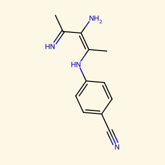 CC(=N)/C(N)=C(/C)Nc1ccc(C#N)cc1